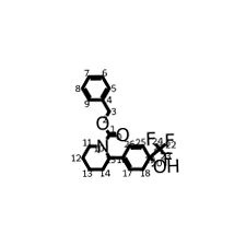 O=C(OCc1ccccc1)N1CCCCC1C1=CCC(O)(C(F)(F)F)C=C1